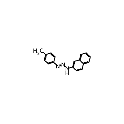 Cc1ccc(N=NNc2ccc3ccccc3c2)cc1